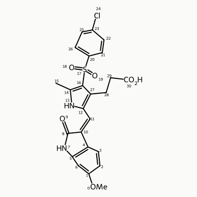 COc1ccc2c(c1)NC(=O)/C2=C\c1[nH]c(C)c(S(=O)(=O)c2ccc(Cl)cc2)c1CCC(=O)O